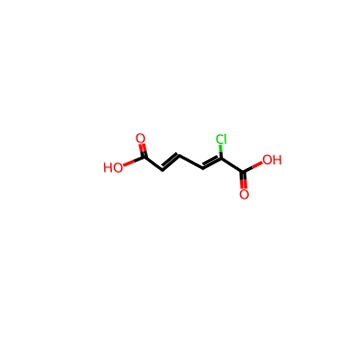 O=C(O)C=CC=C(Cl)C(=O)O